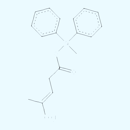 CC(=CCC(=O)O[Si](C)(c1ccccc1)c1ccccc1)C(=O)O